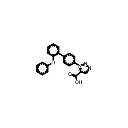 O=C(O)c1cnnn1-c1ccc(-c2ccccc2Oc2ccccc2)cc1